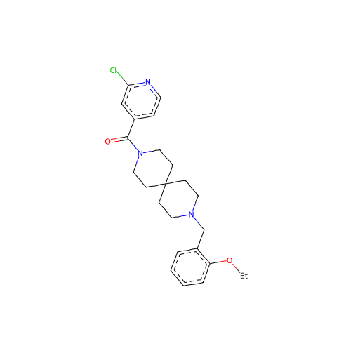 CCOc1ccccc1CN1CCC2(CC1)CCN(C(=O)c1ccnc(Cl)c1)CC2